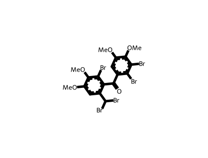 COc1cc(C(=O)c2c(C(Br)Br)cc(OC)c(OC)c2Br)c(Br)c(Br)c1OC